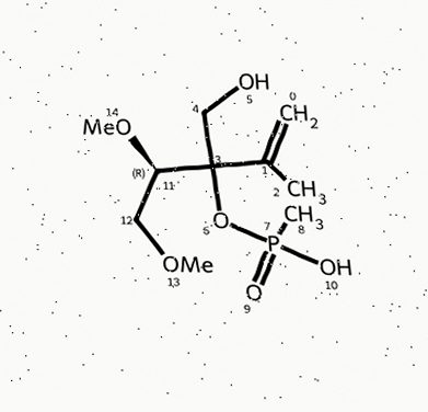 C=C(C)C(CO)(OP(C)(=O)O)[C@@H](COC)OC